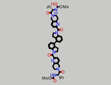 COC(=O)N[C@H](C(=O)N1CCc2nc(C(=O)N3CCc4c(-c5cccc6c5CCN6C(=O)c5ccc6c(n5)CCN(C(=O)[C@@H](NC(O)OC)C(C)C)C6)cccc43)ccc2C1)C(C)C